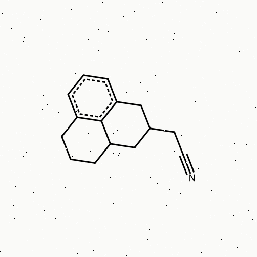 N#CCC1Cc2cccc3c2C(CCC3)C1